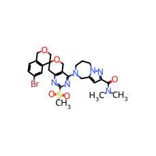 CN(C)C(=O)c1cc2n(n1)CCCN(c1nc(S(C)(=O)=O)nc3c1COC1(COCc4ccc(Br)cc41)C3)C2